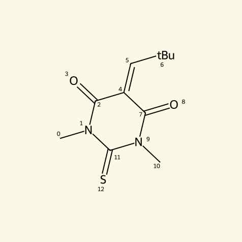 CN1C(=O)C(=CC(C)(C)C)C(=O)N(C)C1=S